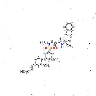 Cc1cc(/C=C/C(=O)O)ccc1-c1cc(C(F)(F)F)cc(S(=O)(=O)N(C)C[C@H](O)CNC(C)(C)CC2Cc3ccccc3C2)c1